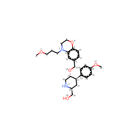 COCCCN1CCOc2ccc(CO[C@H]3CN[C@H](CO)C[C@@H]3c3ccc(OC)cc3)cc21